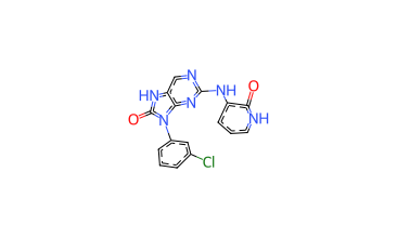 O=c1[nH]cccc1Nc1ncc2[nH]c(=O)n(-c3cccc(Cl)c3)c2n1